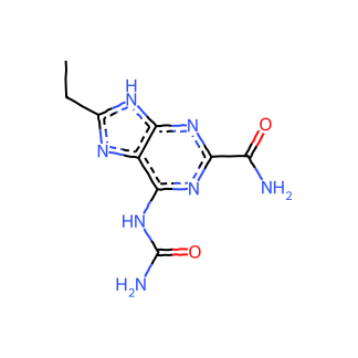 CCc1nc2c(NC(N)=O)nc(C(N)=O)nc2[nH]1